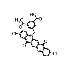 CC(=O)c1cc(Cn2c3ccc(Cl)cc3c(=O)c3cc4[nH]c5ccc(Cl)cc5c(=O)c4cc32)cc(C(=O)O)c1